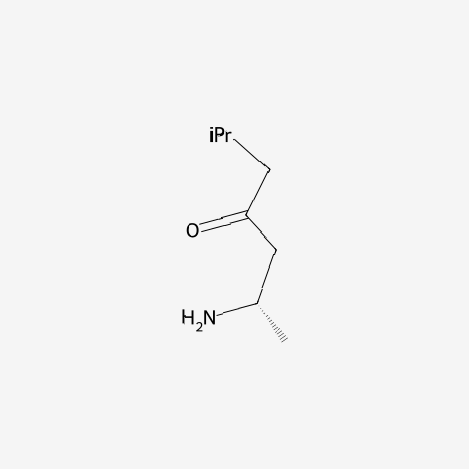 CC(C)CC(=O)C[C@H](C)N